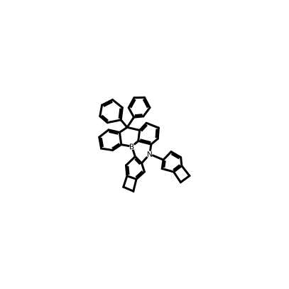 c1ccc(C2(c3ccccc3)c3ccccc3B3c4cc5c(cc4N(c4ccc6c(c4)CC6)c4cccc2c43)CC5)cc1